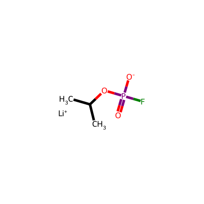 CC(C)OP(=O)([O-])F.[Li+]